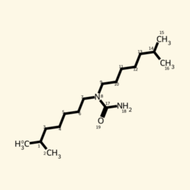 CC(C)CCCCCN(CCCCCC(C)C)C(N)=O